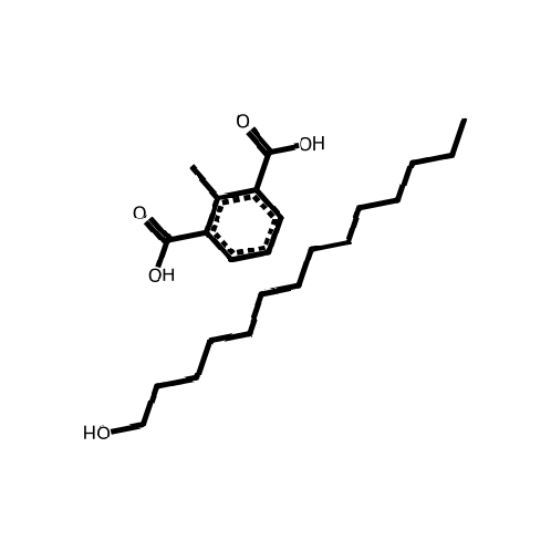 CCCCCCCCCCCCCCO.Cc1c(C(=O)O)cccc1C(=O)O